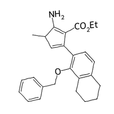 CCOC(=O)C1=C(N)C(C)C=C1c1ccc2c(c1OCc1ccccc1)CCCC2